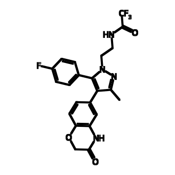 Cc1nn(CCNC(=O)C(F)(F)F)c(-c2ccc(F)cc2)c1-c1ccc2c(c1)NC(=O)CO2